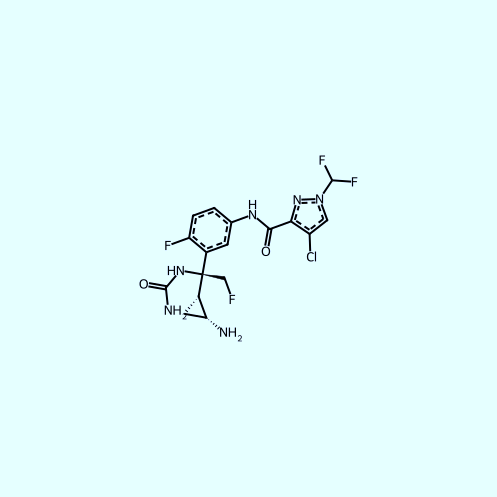 NC(=O)N[C@](CF)(c1cc(NC(=O)c2nn(C(F)F)cc2Cl)ccc1F)[C@H]1C[C@H]1N